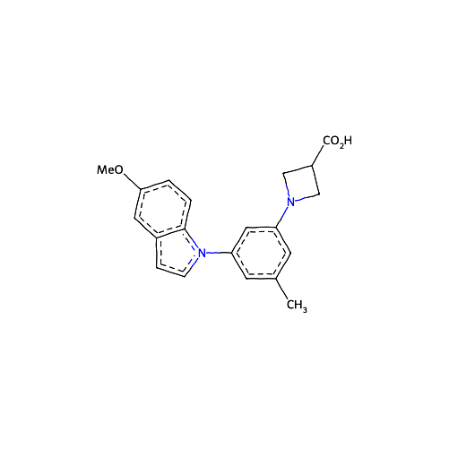 COc1ccc2c(ccn2-c2cc(C)cc(N3CC(C(=O)O)C3)c2)c1